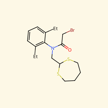 CCc1cccc(CC)c1N(CC1SCCCCS1)C(=O)CBr